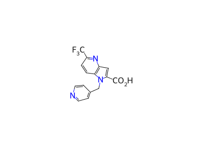 O=C(O)c1cc2nc(C(F)(F)F)ccc2n1Cc1ccncc1